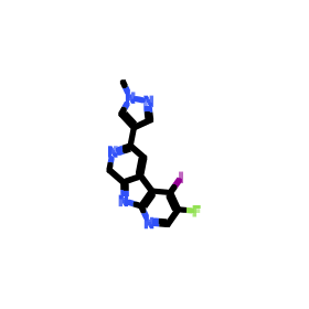 Cn1cc(C2=NCC3=Nc4ncc(F)c(I)c4C3=C2)cn1